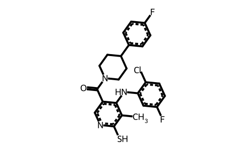 Cc1c(S)ncc(C(=O)N2CCC(c3ccc(F)cc3)CC2)c1Nc1cc(F)ccc1Cl